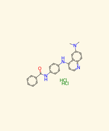 CN(C)c1ccc2nccc(Nc3ccc(NC(=O)c4ccccc4)cc3)c2c1.Cl.Cl